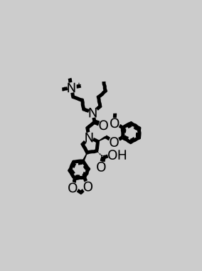 CCCCN(CCC[N+](C)(C)C)C(=O)CN1C[C@H](c2ccc3c(c2)OCO3)[C@@H](C(=O)O)[C@@H]1COc1ccccc1OC